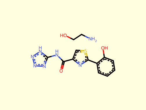 NCCO.O=C(Nc1nnn[nH]1)c1csc(-c2ccccc2O)n1